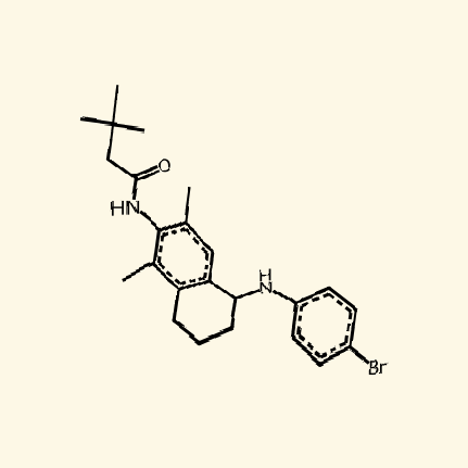 Cc1cc2c(c(C)c1NC(=O)CC(C)(C)C)CCCC2Nc1ccc(Br)cc1